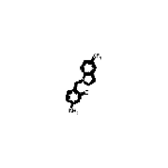 Nc1ccc(CN2CCc3cc(C(F)(F)F)ccc32)c(Cl)c1